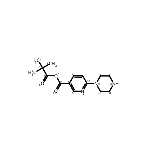 CC(C)(C)C(=O)OC(=O)c1ccc(N2CCNCC2)nc1